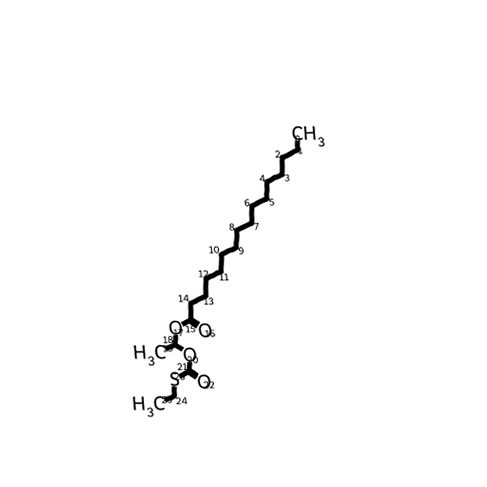 CCCCCCCCCCCCCCCC(=O)OC(C)OC(=O)SCC